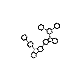 c1ccc(-c2ccc(C3c4ccccc4-c4ccc(-c5ccc6c(c5)c5ccccc5n6-c5cc(-c6ccccc6)cc(-c6ccccc6)c5)cc43)cc2)cc1